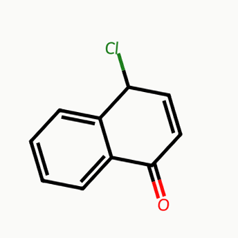 O=C1C=CC(Cl)c2ccccc21